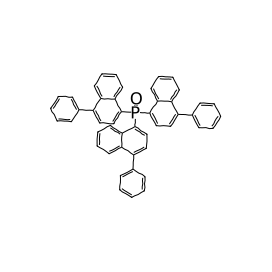 O=P(c1ccc(-c2ccccc2)c2ccccc12)(c1ccc(-c2ccccc2)c2ccccc12)c1ccc(-c2ccccc2)c2ccccc12